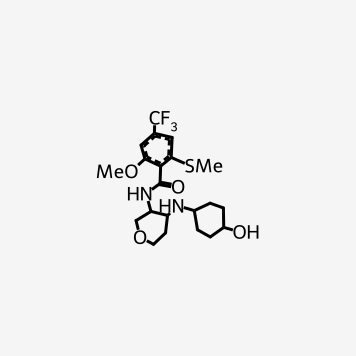 COc1cc(C(F)(F)F)cc(SC)c1C(=O)NC1COCCC1NC1CCC(O)CC1